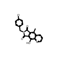 Cc1c2c(c(O)c3ncccc13)C(=O)N(Cc1ccc(Cl)cc1)C2=O